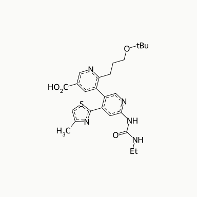 CCNC(=O)Nc1cc(-c2nc(C)cs2)c(-c2cc(C(=O)O)cnc2CCCOC(C)(C)C)cn1